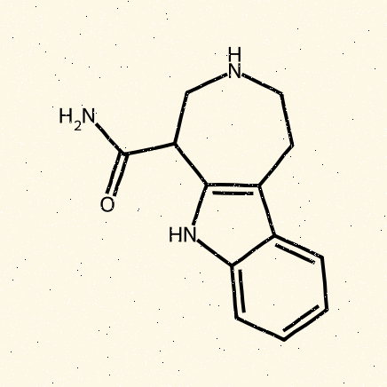 NC(=O)C1CNCCc2c1[nH]c1ccccc21